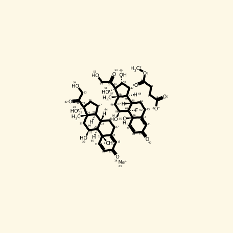 COC(=O)CCC(=O)[O-].C[C@]12C=CC(=O)C=C1CC[C@@H]1[C@@H]2[C@@H](O)C[C@@]2(C)[C@H]1CC[C@]2(O)C(=O)CO.C[C@]12C=CC(=O)C=C1CC[C@H]1[C@@H]3C[C@@H](O)[C@](O)(C(=O)CO)[C@@]3(C)C[C@H](O)[C@@]12F.[Na+]